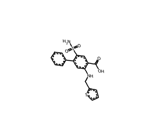 NS(=O)(=O)c1cc(C(=O)O)c(NCc2cccs2)cc1-c1ccccc1